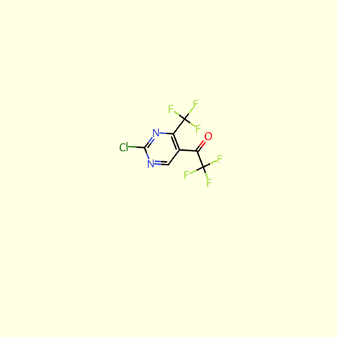 O=C(c1cnc(Cl)nc1C(F)(F)F)C(F)(F)F